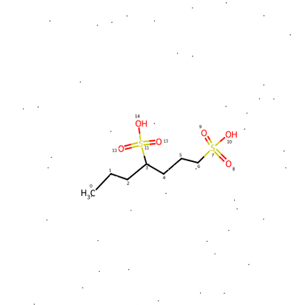 CCC[C](CCCS(=O)(=O)O)S(=O)(=O)O